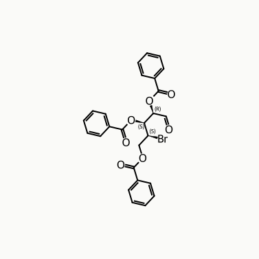 O=C[C@H](OC(=O)c1ccccc1)[C@H](OC(=O)c1ccccc1)[C@@H](Br)COC(=O)c1ccccc1